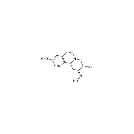 CCCCC1CN2CCc3cc(OC)ccc3C2CC1=NO